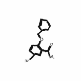 NC(=O)c1cc(Br)ccc1OCc1ccccc1